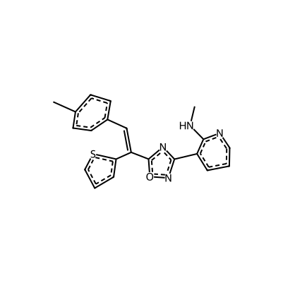 CNc1ncccc1-c1noc(C(=Cc2ccc(C)cc2)c2cccs2)n1